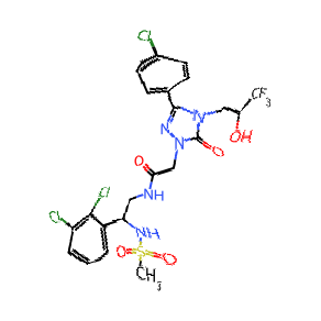 CS(=O)(=O)NC(CNC(=O)Cn1nc(-c2ccc(Cl)cc2)n(C[C@H](O)C(F)(F)F)c1=O)c1cccc(Cl)c1Cl